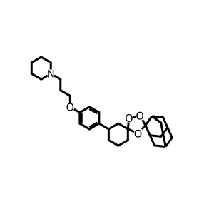 c1cc(C2CCCC3(C2)OOC2(O3)C3CC4CC(C3)CC2C4)ccc1OCCCN1CCCCC1